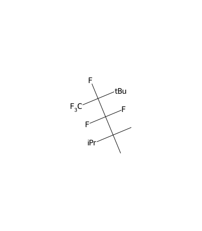 CC(C)C(C)(C)C(F)(F)C(F)(C(C)(C)C)C(F)(F)F